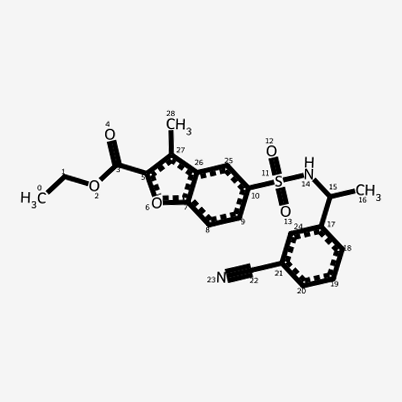 CCOC(=O)c1oc2ccc(S(=O)(=O)NC(C)c3cccc(C#N)c3)cc2c1C